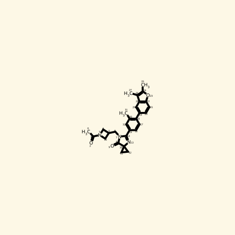 CC(=O)N1CC(CN2C(=O)C3(CC3)N=C2c2ccc(-c3ccc4oc(C)c(C)c4c3)c(C)c2)C1